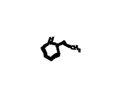 C=CN1C=CC=CN1